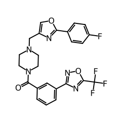 O=C(c1cccc(-c2noc(C(F)(F)F)n2)c1)N1CCN(Cc2coc(-c3ccc(F)cc3)n2)CC1